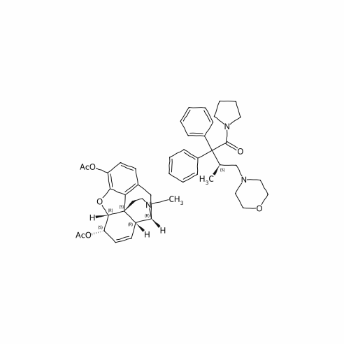 CC(=O)Oc1ccc2c3c1O[C@H]1[C@@H](OC(C)=O)C=C[C@H]4[C@@H](C2)N(C)CC[C@@]341.C[C@H](CN1CCOCC1)C(C(=O)N1CCCC1)(c1ccccc1)c1ccccc1